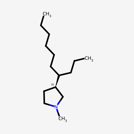 CCCCCCC(CCC)[C@@H]1CCN(C)C1